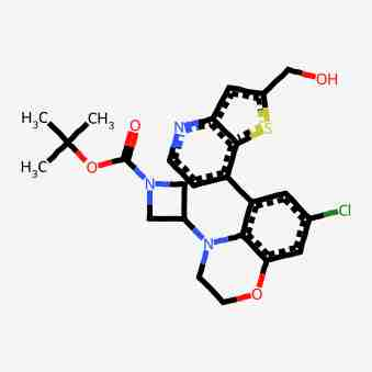 CC(C)(C)OC(=O)N1CC(N2CCOc3cc(Cl)cc(-c4ccnc5cc(CO)sc45)c32)C1